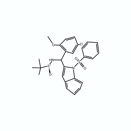 COc1ccc(Cl)cc1C(N[S@@+]([O-])C(C)(C)C)c1cc2ccccc2n1S(=O)(=O)c1ccccc1